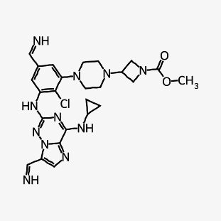 COC(=O)N1CC(N2CCN(c3cc(C=N)cc(Nc4nc(NC5CC5)c5ncc(C=N)n5n4)c3Cl)CC2)C1